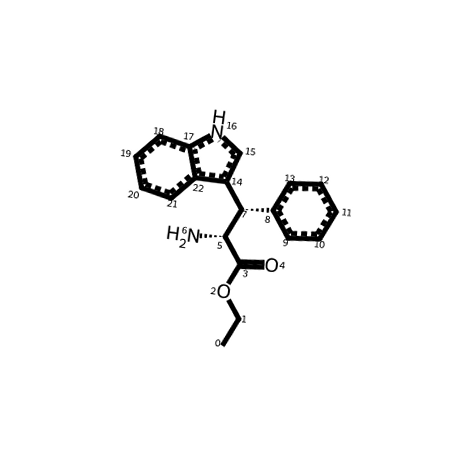 CCOC(=O)[C@H](N)[C@@H](c1ccccc1)c1c[nH]c2ccccc12